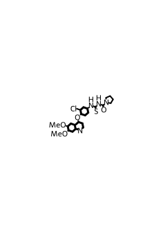 COc1cc2nccc(Oc3ccc(NC(=S)NC(=O)N4CCCC4)cc3Cl)c2cc1OC